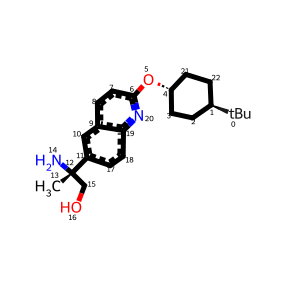 CC(C)(C)[C@H]1CC[C@H](Oc2ccc3cc([C@@](C)(N)CO)ccc3n2)CC1